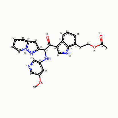 COc1cncc(NC(C(=O)c2c[nH]c3c(CCOC(C)=O)cccc23)c2cc3ccccn3n2)c1